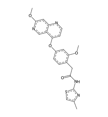 COc1cc2nccc(Oc3ccc(CC(=O)Nc4nc(C)cs4)c(OC)c3)c2cn1